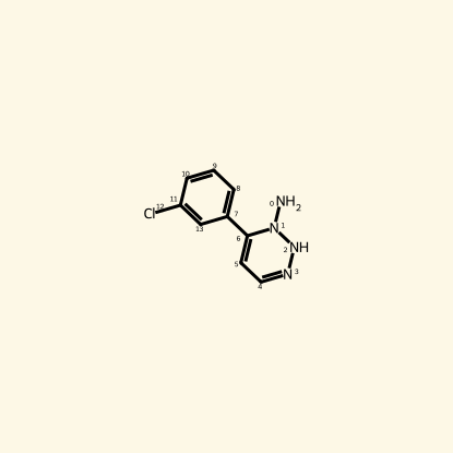 NN1NN=CC=C1c1cccc(Cl)c1